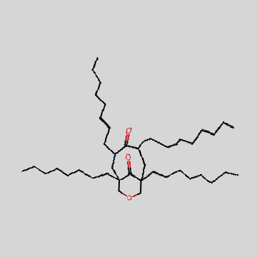 CCCCCCCCC1CC2(CCCCCCCC)COCC(CCCCCCCC)(CC(CCCCCCCC)C1=O)C2=O